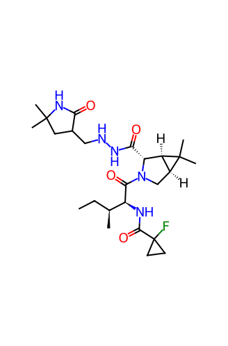 CC[C@H](C)[C@H](NC(=O)C1(F)CC1)C(=O)N1C[C@H]2[C@@H]([C@H]1C(=O)NNCC1CC(C)(C)NC1=O)C2(C)C